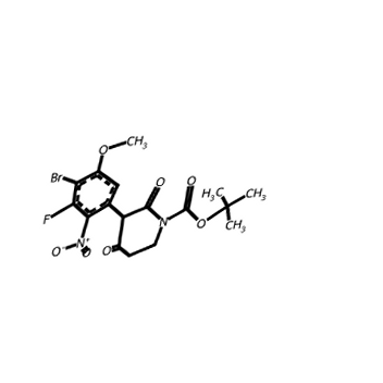 COc1cc(C2C(=O)CCN(C(=O)OC(C)(C)C)C2=O)c([N+](=O)[O-])c(F)c1Br